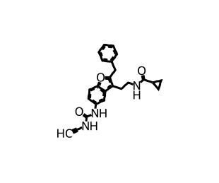 C#CNC(=O)Nc1ccc2oc(Cc3ccccc3)c(CCNC(=O)C3CC3)c2c1